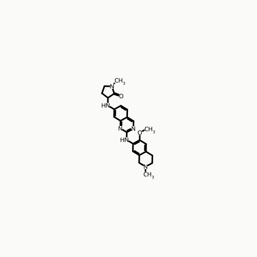 COc1cc2c(cc1Nc1ncc3ccc(NC4CCN(C)C4=O)cc3n1)CN(C)CC2